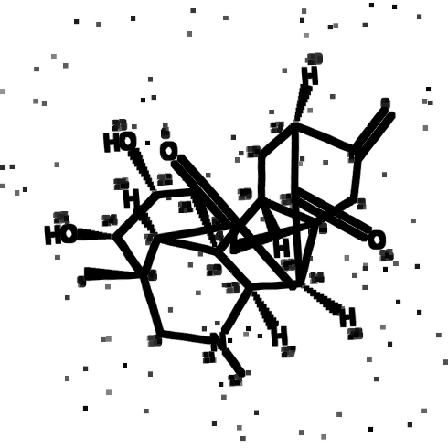 C=C1C[C@]23CC(=O)[C@@H]4[C@]5(C)CN(C)[C@@H]6[C@H]2C(=O)[C@H]1C[C@H]3[C@]46C[C@@H](O)[C@H]5O